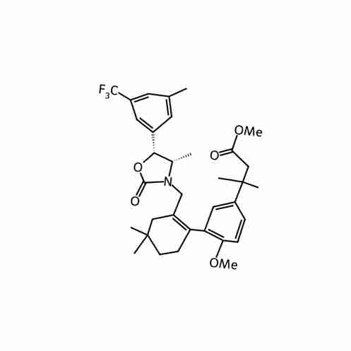 COC(=O)CC(C)(C)c1ccc(OC)c(C2=C(CN3C(=O)O[C@H](c4cc(C)cc(C(F)(F)F)c4)[C@@H]3C)CC(C)(C)CC2)c1